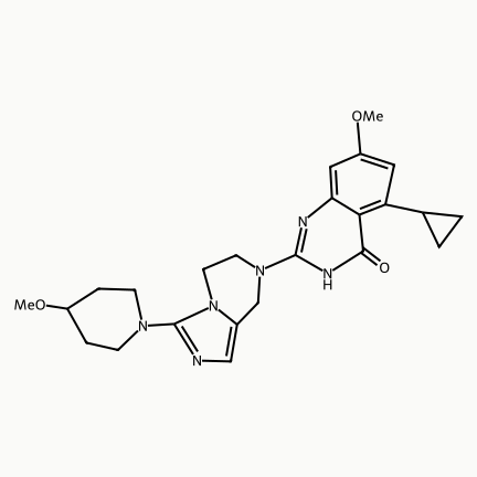 COc1cc(C2CC2)c2c(=O)[nH]c(N3CCn4c(cnc4N4CCC(OC)CC4)C3)nc2c1